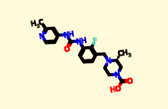 Cc1cc(NC(=O)Nc2cccc(CN3CCN(C(=O)O)C[C@H]3C)c2F)ccn1